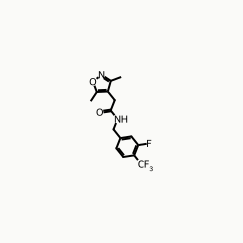 Cc1noc(C)c1CC(=O)NCc1ccc(C(F)(F)F)c(F)c1